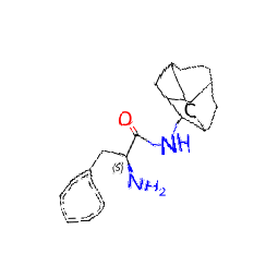 N[C@@H](Cc1ccccc1)C(=O)NC1C2CC3CC(C2)CC1C3